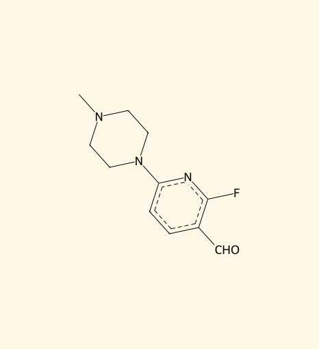 CN1CCN(c2ccc(C=O)c(F)n2)CC1